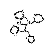 CCC=C(N(Cc1ccccn1)Cc1ccccn1)N(Cc1ccccn1)Cc1ccccn1